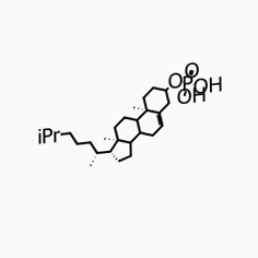 CC(C)CCC[C@@H](C)[C@H]1CCC2C3CC=C4CC(OP(=O)(O)O)CC[C@]4(C)C3CC[C@@]21C